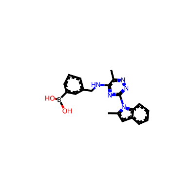 Cc1nnc(-n2c(C)cc3ccccc32)nc1NCc1cccc(B(O)O)c1